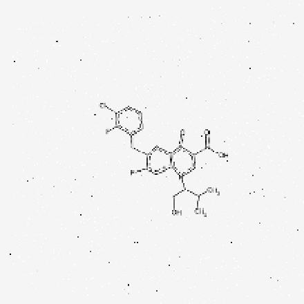 CC(C)C(CO)n1cc(C(=O)O)c(=O)c2cc(Cc3cccc(Cl)c3F)c(F)cc21